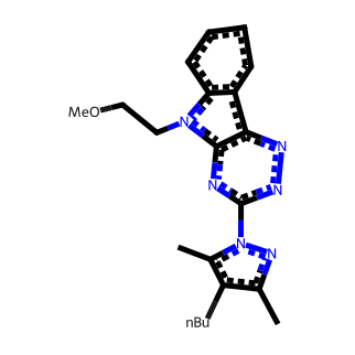 CCCCc1c(C)nn(-c2nnc3c4ccccc4n(CCOC)c3n2)c1C